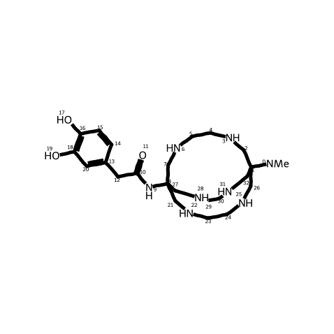 CNC12CNCCNCC(NC(=O)Cc3ccc(O)c(O)c3)(CNCCNC1)CNCCNC2